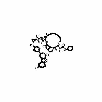 CC(C)c1ccc(-c2nc(O[C@@H]3C[C@H]4C(=O)N[C@]5(C(=O)NS(=O)(=O)C6CC6)C[C@H]5/C=C\CCCCC[C@H](NC(=O)OC5CCCC5)C(=O)N4C3)c3oc4ccc(Cl)cc4c3n2)cc1